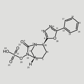 O=C1N2C[C@H](CC[C@@H]2c2nnc(-c3ccccc3)o2)N1OS(=O)(=O)O